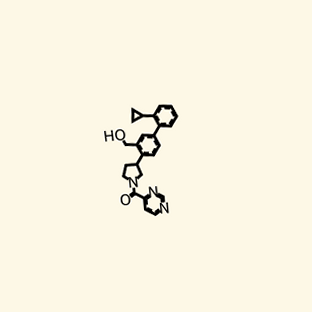 O=C(c1ccncn1)N1CCC(c2ccc(-c3ccccc3C3CC3)cc2CO)C1